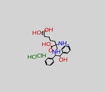 Cl.Cl.NC(CCCCB(O)O)(CN[C@H](c1ccccc1)[C@H](O)c1ccccc1)C(=O)O